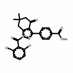 COC(=O)c1ccc(-c2nn(C(=O)c3c(Cl)cccc3Cl)c3c2C(=O)CC(C)(C)C3)cc1